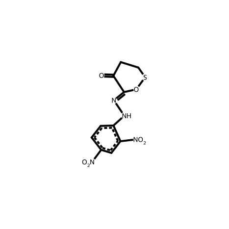 O=C1CCSO/C1=N\Nc1ccc([N+](=O)[O-])cc1[N+](=O)[O-]